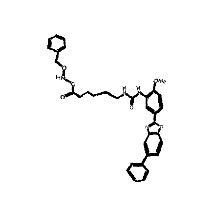 COc1ccc(-c2nc3cc(-c4ccccc4)ccc3o2)cc1NC(=O)NCCCCCC(=O)ONOCc1ccccc1